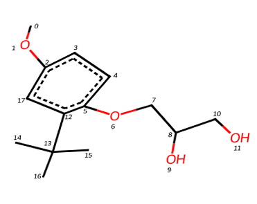 COc1ccc(OCC(O)CO)c(C(C)(C)C)c1